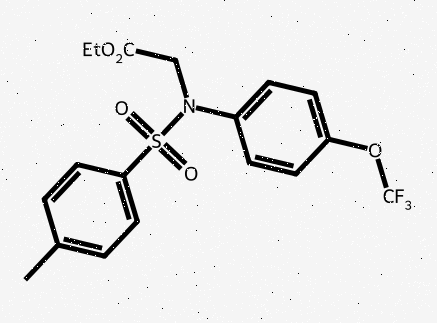 CCOC(=O)CN(c1ccc(OC(F)(F)F)cc1)S(=O)(=O)c1ccc(C)cc1